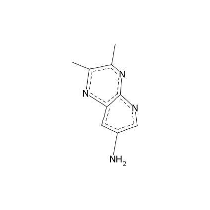 Cc1nc2cc(N)cnc2nc1C